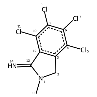 CN1Cc2c(Cl)c(Cl)c(Cl)c(Cl)c2C1=N